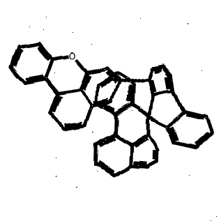 c1ccc2c(c1)Oc1cc(-c3cccc4c3C3(c5ccccc5-4)c4ccccc4-c4cccc5cccc3c45)cc3cccc-2c13